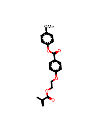 C=C(C)C(=O)OCCOc1ccc(C(=O)Oc2ccc(OC)cc2)cc1